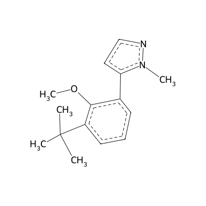 COc1c(-c2ccnn2C)cccc1C(C)(C)C